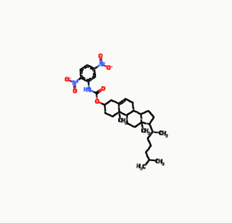 CC(C)CCCC(C)C1CCC2C3CC=C4CC(OC(=O)Nc5cc([N+](=O)[O-])ccc5[N+](=O)[O-])CCC4(C)C3CCC12C